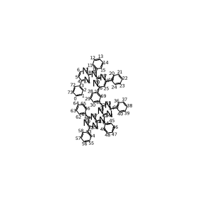 c1ccc(-c2ccnc(N(c3ccccc3)c3nc(-c4ccccc4)cc(-c4cccc(-c5nc(-c6ccccc6)nc(N(c6ccccc6)c6nc(-c7ccccc7)nc(-c7ccccc7)n6)n5)c4)n3)n2)cc1